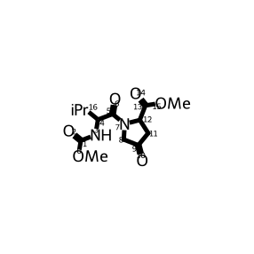 COC(=O)NC(C(=O)N1CC(=O)CC1C(=O)OC)C(C)C